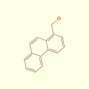 [O]Cc1cccc2c1ccc1ccccc12